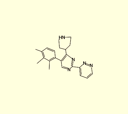 Cc1ccc(-c2cnc(-c3cccnn3)nc2C2CCNCC2)c(C)c1C